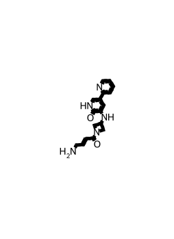 NCC=CC(=O)N1CC(Nc2cc(-c3ccccn3)c[nH]c2=O)C1